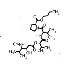 CCCCOC(=O)[C@@H]1CCCN1C(=O)C(NC(=O)[C@@H](OC(=O)C[C@H](O)[C@H](NCl)C(C)C)C(C)C)C(C)C